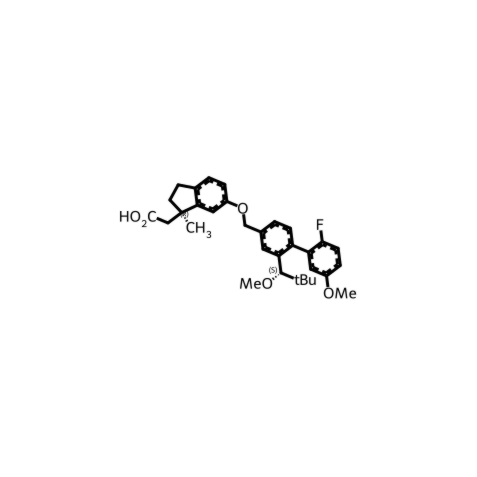 COc1ccc(F)c(-c2ccc(COc3ccc4c(c3)[C@@](C)(CC(=O)O)CC4)cc2[C@@H](OC)C(C)(C)C)c1